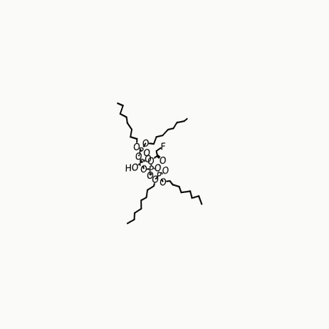 CCCCCCCCOP(=O)(OCCCCCCCC)OP(=O)(O)OP(=O)(OC(=O)CF)OP(=O)(OCCCCCCCC)OCCCCCCCC